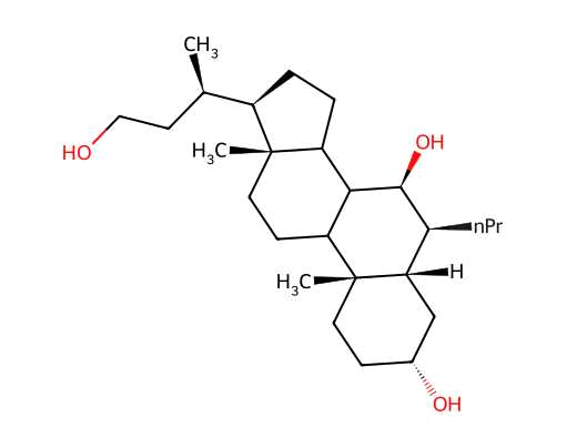 CCC[C@@H]1[C@H](O)C2C3CC[C@H]([C@H](C)CCO)[C@@]3(C)CCC2[C@@]2(C)CC[C@@H](O)C[C@@H]12